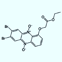 CCOC(=O)COc1cccc2c1[n+]([O-])c1cc(Br)c(Br)cc1[n+]2[O-]